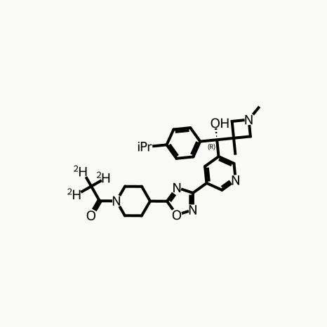 [2H]C([2H])([2H])C(=O)N1CCC(c2nc(-c3cncc([C@@](O)(c4ccc(C(C)C)cc4)C4(C)CN(C)C4)c3)no2)CC1